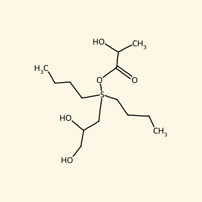 CCCCS(CCCC)(CC(O)CO)OC(=O)C(C)O